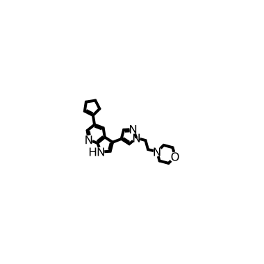 C1=C(c2cnc3[nH]cc(-c4cnn(CCN5CCOCC5)c4)c3c2)CCC1